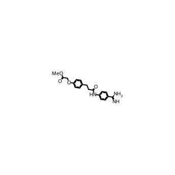 COC(=O)COc1ccc(CCC(=O)Nc2ccc(C(=N)N)cc2)cc1